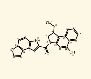 O=C(c1cc2c(ccc3occc32)[nH]1)N1CC(CCl)c2c1cc(O)c1ccccc21